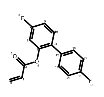 C=CC(=O)Oc1cc(F)ccc1-c1ccc(F)cc1